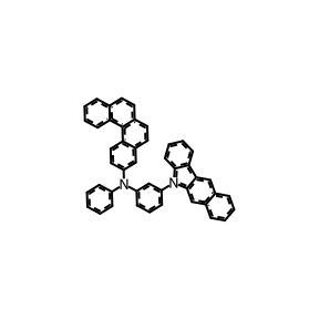 c1ccc(N(c2cccc(-n3c4ccccc4c4cc5ccccc5cc43)c2)c2ccc3c(ccc4ccc5ccccc5c43)c2)cc1